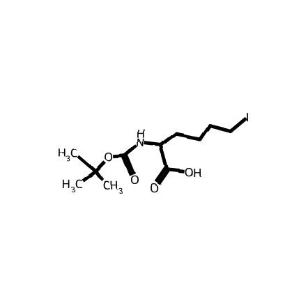 CC(C)(C)OC(=O)NC(CCCCI)C(=O)O